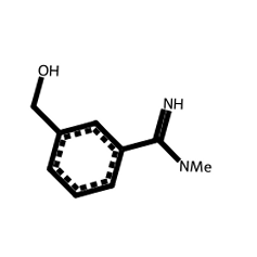 CNC(=N)c1cccc(CO)c1